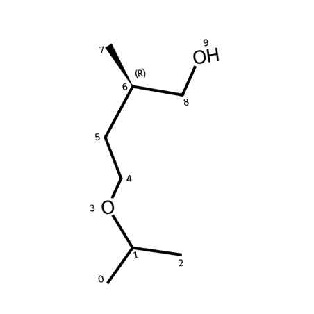 CC(C)OCC[C@@H](C)CO